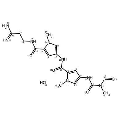 CN(N=O)C(=O)Nc1cc(C(=O)Nc2cc(C(=O)NCCC(=N)N)n(C)c2)n(C)c1.Cl